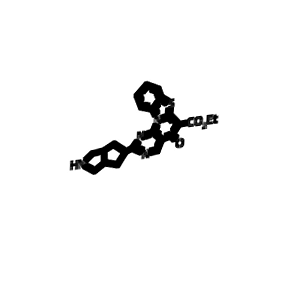 CCOC(=O)c1c(=O)c2cnc(C3CC4CNCC4C3)nc2n2c1sc1ccccc12